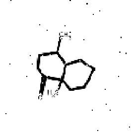 CC1CCC(=O)C2(C)CCCCC12